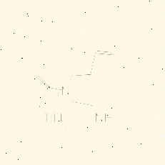 BCC(=C)N(CCN)CC(C)C(C)=CC